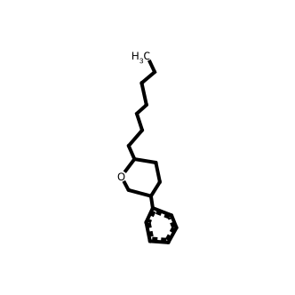 CCCCCCCC1CCC(c2ccccc2)CO1